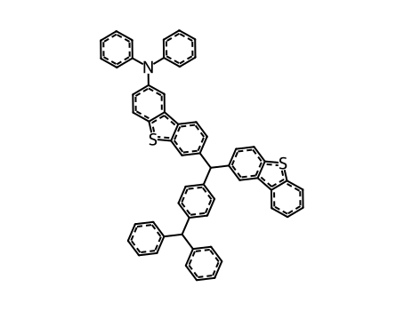 c1ccc(C(c2ccccc2)c2ccc(C(c3ccc4c(c3)sc3ccc(N(c5ccccc5)c5ccccc5)cc34)c3ccc4sc5ccccc5c4c3)cc2)cc1